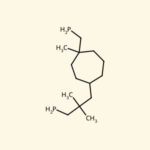 CC(C)(CP)CC1CCCC(C)(CP)CC1